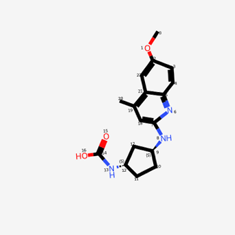 COc1ccc2nc(N[C@H]3CC[C@H](NC(=O)O)C3)cc(C)c2c1